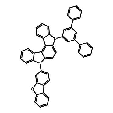 c1ccc(-c2cc(-c3ccccc3)cc(-n3c4ccccc4c4c5c6ccccc6n(-c6ccc7c(c6)oc6ccccc67)c5ccc43)c2)cc1